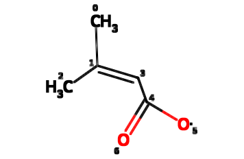 CC(C)=CC([O])=O